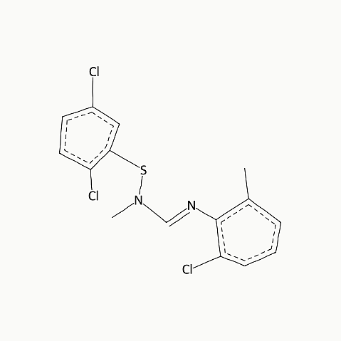 Cc1cccc(Cl)c1N=CN(C)Sc1cc(Cl)ccc1Cl